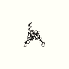 C=CCCc1nnc([N+]2([O-])CN(CCCCl)CC2NCCOCC)s1